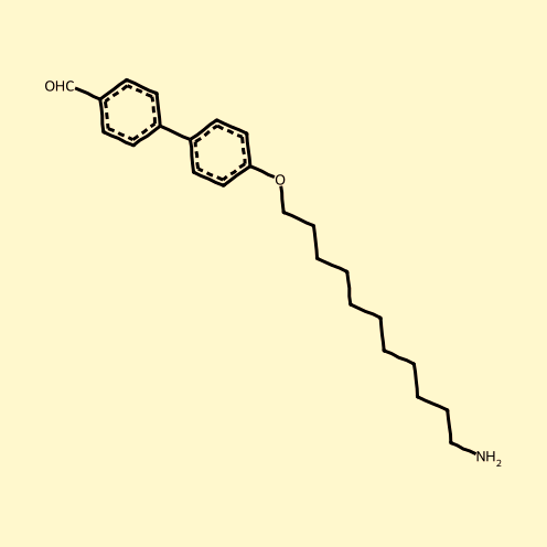 NCCCCCCCCCCCOc1ccc(-c2ccc(C=O)cc2)cc1